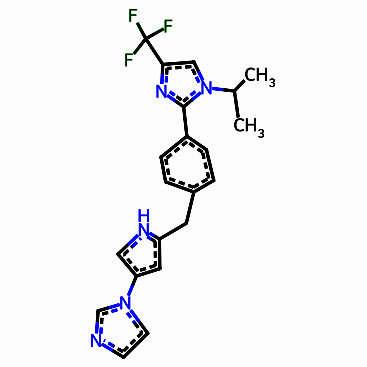 CC(C)n1cc(C(F)(F)F)nc1-c1ccc(Cc2cc(-n3ccnc3)c[nH]2)cc1